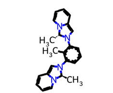 Cc1c(N2C=C3C=CC=CN3[C@H]2C)cccc1N1C=C2C=CC=CN2[C@@H]1C